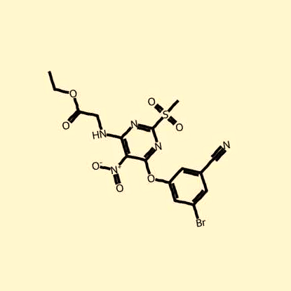 CCOC(=O)CNc1nc(S(C)(=O)=O)nc(Oc2cc(Br)cc(C#N)c2)c1[N+](=O)[O-]